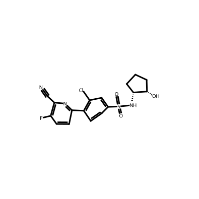 N#Cc1nc(-c2ccc(S(=O)(=O)N[C@@H]3CCC[C@@H]3O)cc2Cl)ccc1F